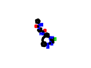 O=C(Nc1ccc2cc1CCc1cccc(c1)Nc1ncc(Cl)c(n1)N2)[C@@H]1CCN(C(=O)NC2CCCC2)C1